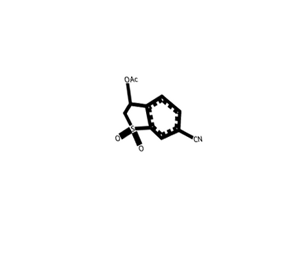 CC(=O)OC1CS(=O)(=O)c2cc(C#N)ccc21